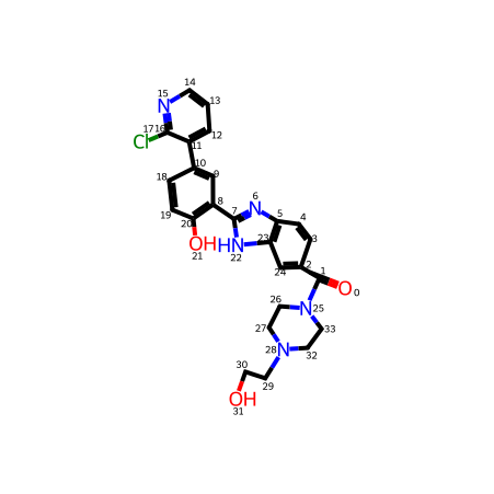 O=C(c1ccc2nc(-c3cc(-c4cccnc4Cl)ccc3O)[nH]c2c1)N1CCN(CCO)CC1